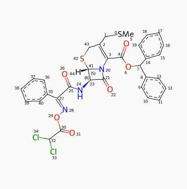 CSCC1=C(C(=O)OC(c2ccccc2)c2ccccc2)N2C(=O)[C@@H](NC(=O)C(=NOC(=O)C(Cl)Cl)c3ccccc3)[C@@H]2SC1